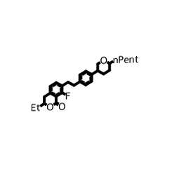 CCCCCC1CCC(c2ccc(CCc3ccc4c(c3F)C(=O)OC(CC)C4)cc2)CO1